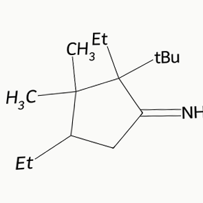 CCC1CC(=N)C(CC)(C(C)(C)C)C1(C)C